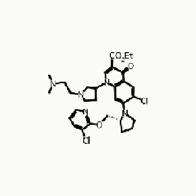 CCOC(=O)c1cn(C2CCN(CCN(C)C)C2)c2cc(N3CCC[C@@H]3COc3ncccc3Cl)c(Cl)cc2c1=O